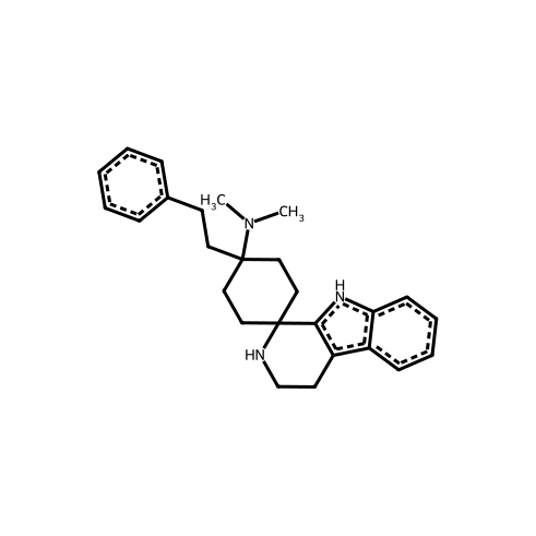 CN(C)C1(CCc2ccccc2)CCC2(CC1)NCCc1c2[nH]c2ccccc12